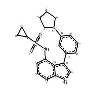 O=S(=O)(Nc1ccnc2[nH]cc(-c3cccc(N4CCCC4)c3)c12)C1CC1